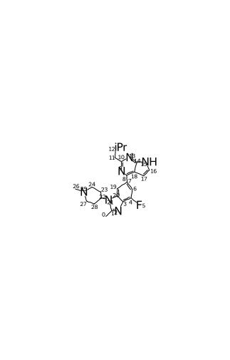 Cc1nc2c(F)cc(-c3nc(CC(C)C)nc4[nH]ccc34)cc2n1C1CCN(C)CC1